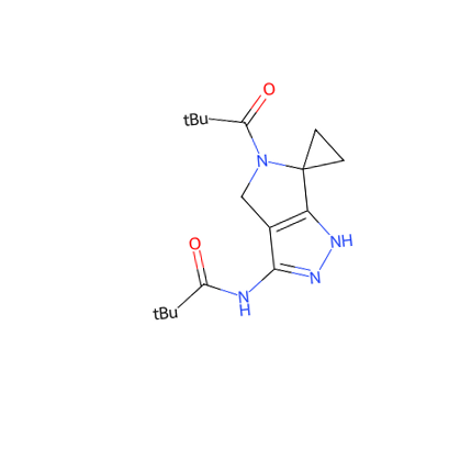 CC(C)(C)C(=O)Nc1n[nH]c2c1CN(C(=O)C(C)(C)C)C21CC1